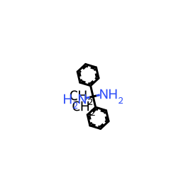 C=C.NC(N)(c1ccccc1)c1ccccc1